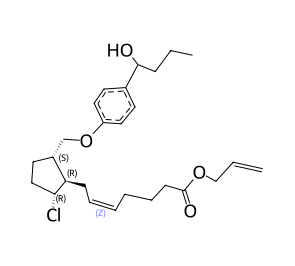 C=CCOC(=O)CCC/C=C\C[C@@H]1[C@@H](COc2ccc(C(O)CCC)cc2)CC[C@H]1Cl